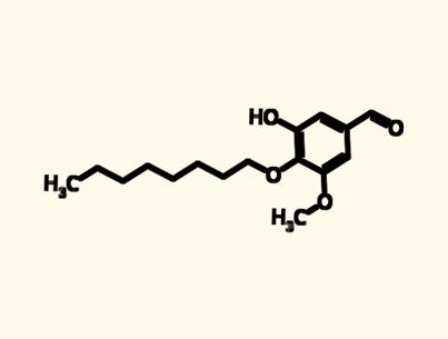 CCCCCCCCOc1c(O)cc(C=O)cc1OC